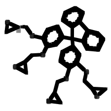 c1ccc2c(c1)-c1ccccc1C2(c1ccc(OCC2CO2)c(OCC2CO2)c1)c1ccc(OC[C@@H]2CO2)c(OCC2CO2)c1